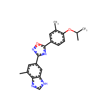 Cc1cc(-c2noc(-c3ccc(OC(C)C(F)(F)F)c(C(F)(F)F)c3)n2)cc2[nH]cnc12